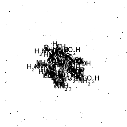 CC[C@H](C)[C@H](NC(=O)[C@H](CC(C)C)NC(=O)[C@H](CC(=O)O)NC(=O)[C@H](CCC(N)=O)NC(=O)[C@H](C)NC(=O)[C@H](CC(=O)O)NC(=O)[C@H](CCC(N)=O)NC(=O)[C@H](Cc1ccc(O)cc1)NC(=O)[C@H](CC(=O)O)NC(=O)[C@H](CC(=O)O)NC(=O)[C@H](CCC(=O)O)NC(=O)CN)C(=O)N[C@@H](CCCNC(=N)N)C(=O)N[C@@H](CC(=O)O)C(=O)N[C@@H](CCCCN)C(=O)N[C@@H](CO)C(=O)N[C@@H](CC(N)=O)C(=O)O